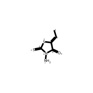 C/C=C1\SC(=S)N(N)C1=O